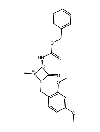 COc1ccc(CN2C(=O)[C@H](NC(=O)OCc3ccccc3)[C@@H]2C)c(OC)c1